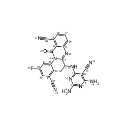 CC(Nc1nc(N)nc(N)c1C#N)c1nc2cccc(C#N)c2c(=O)n1-c1cc(F)cc(C#N)c1